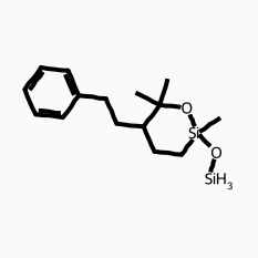 CC1(C)O[Si](C)(O[SiH3])CCC1CCc1ccccc1